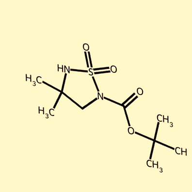 CC1(C)CN(C(=O)OC(C)(C)C)S(=O)(=O)N1